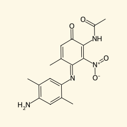 CC(=O)NC1=C([N+](=O)[O-])C(=Nc2cc(C)c(N)cc2C)C(C)=CC1=O